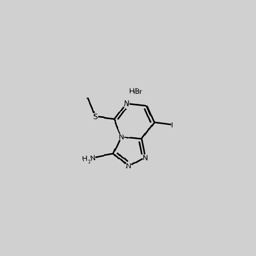 Br.CSc1ncc(I)c2nnc(N)n12